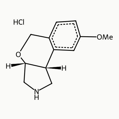 COc1ccc2c(c1)[C@@H]1CNC[C@@H]1OC2.Cl